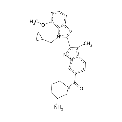 COc1cccc2cc(-c3nn4cc(C(=O)N5CCC[C@@H](N)C5)ccc4c3C)n(CC3CC3)c12